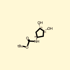 CC(C)(C)OC(=O)N[C@H]1C[C@@H](O)[C@@H](O)C1